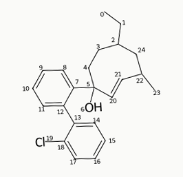 CCC1CCC(O)(c2ccccc2-c2ccccc2Cl)/C=C/C(C)C1